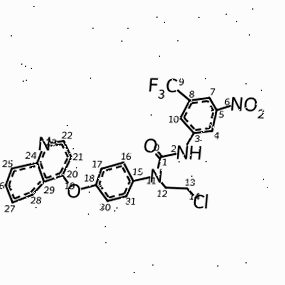 O=C(Nc1cc([N+](=O)[O-])cc(C(F)(F)F)c1)N(CCCl)c1ccc(Oc2ccnc3ccccc23)cc1